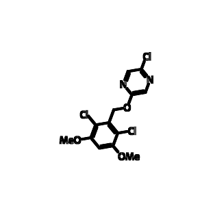 COc1cc(OC)c(Cl)c(COc2cnc(Cl)cn2)c1Cl